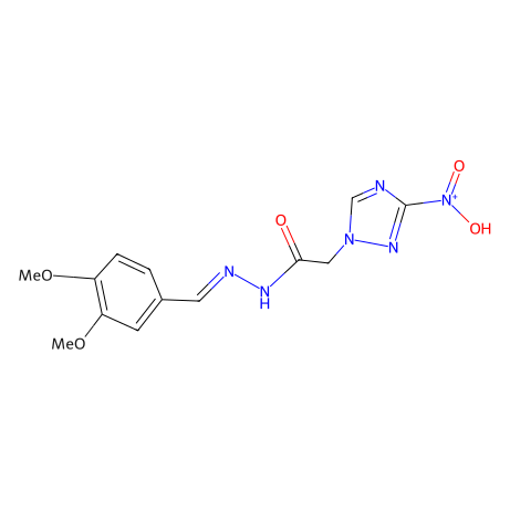 COc1ccc(/C=N/NC(=O)Cn2cnc([N+](=O)O)n2)cc1OC